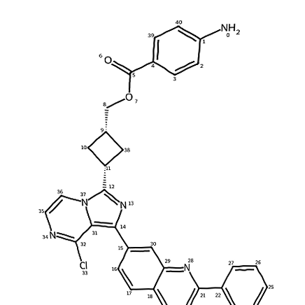 Nc1ccc(C(=O)OC[C@H]2C[C@@H](c3nc(-c4ccc5ccc(-c6ccccc6)nc5c4)c4c(Cl)nccn43)C2)cc1